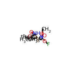 C=CCOC(=O)N1C[C@@H](SC(=CC)S[C@H]2NC(=O)[C@@H]2[C@@H](C)O[Si](C)(C)C(C)(C)C)C[C@H]1COCCF